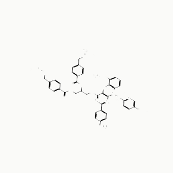 COc1ccc(-c2nc(NS(=O)(=O)c3ccc(C(C)(C)C)cn3)c(Oc3ccccc3OC)c(OCC(COC(=O)c3ccc(CO[N+](=O)[O-])cc3)OC(=O)c3ccc(CO[N+](=O)[O-])cc3)n2)cc1